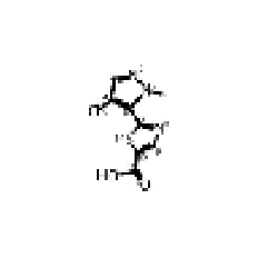 Cn1ncc(Cl)c1-c1ncc(C(=O)O)s1